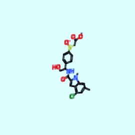 COC(=O)C[S+]([O-])c1ccc(C(CO)NC(=O)c2cc3c(Cl)cc(C)cc3n2C)cc1